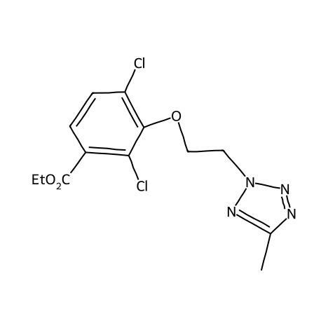 CCOC(=O)c1ccc(Cl)c(OCCn2nnc(C)n2)c1Cl